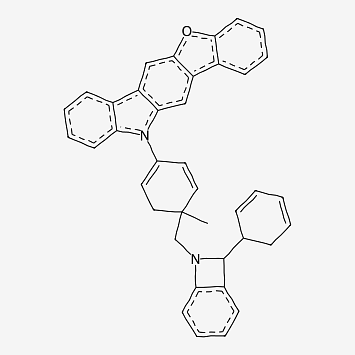 CC1(CN2c3ccccc3C2C2C=CC=CC2)C=CC(n2c3ccccc3c3cc4oc5ccccc5c4cc32)=CC1